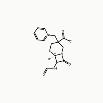 O=CNC1C(=O)N2CC(C[n+]3ccccc3)(C(=O)[O-])CS[C@H]12